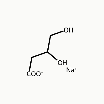 O=C([O-])CC(O)CO.[Na+]